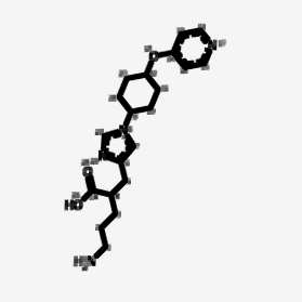 NCCCC(Cc1cn(C2CCC(Oc3ccncc3)CC2)cn1)C(=O)O